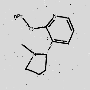 CCCOc1ncccc1[C@@H]1CCCN1C